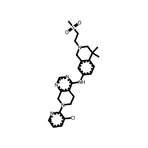 CC1(C)CN(CCS(C)(=O)=O)Cc2cc(Nc3ncnc4c3CCN(c3ncccc3Cl)C4)ccc21